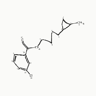 CC1CC1CCCCOC(=O)c1[c]ccc(Cl)c1